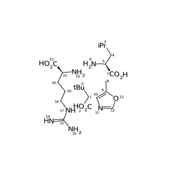 CC(C)(C)CC(=O)O.CC(C)C[C@H](N)C(=O)O.Cc1cnco1.N=C(N)NCCC[C@H](N)C(=O)O